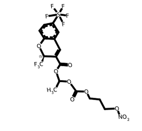 CC(OC(=O)OCCCO[N+](=O)[O-])OC(=O)C1=Cc2cc(S(F)(F)(F)(F)F)ccc2O[C@@H]1C(F)(F)F